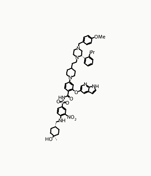 COc1ccc(CN2CCN(CCC3CCN(c4ccc(C(=O)NS(=O)(=O)c5ccc(NC[C@H]6CC[C@](C)(O)CC6)c([N+](=O)[O-])c5)c(Oc5cnc6[nH]ccc6c5)c4)CC3)[C@@H](c3ccccc3C(C)C)C2)cc1